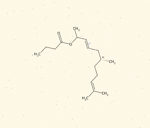 CCCC(=O)OC(C)/C=C/C[C@H](C)CCC=C(C)C